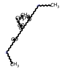 CCCCCCCC/C=C\CCCCCCCC(=O)OCCCCCCC(CCCCCCOC(=O)CCCCCCC/C=C\CCCCCCCC)OC(=O)OCCN(CC)CCN(C)C